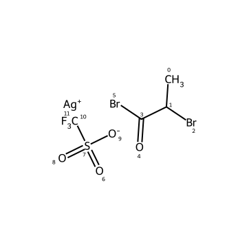 CC(Br)C(=O)Br.O=S(=O)([O-])C(F)(F)F.[Ag+]